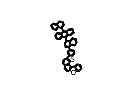 c1ccc2c(-c3c4ccccc4c(-c4ccc(-c5ccc6sc7c(ccc8ccc9oc%10ccccc%10c9c87)c6c5)c5ccccc45)c4ccccc34)cccc2c1